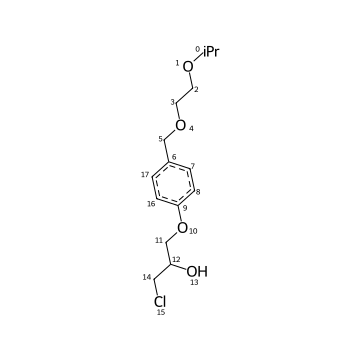 CC(C)OCCOCc1ccc(OCC(O)CCl)cc1